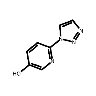 Oc1ccc(-n2ccnn2)nc1